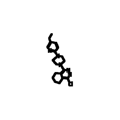 CCc1ccc(N2CCN(c3nnc(Cl)c4c3CCCC4)CC2)nc1